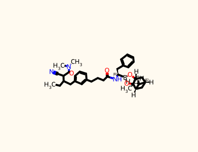 CCC(Cc1cccc(CCCC(=O)N[C@@H](Cc2ccccc2)B2O[C@@H]3C[C@@H]4C[C@@H](C4(C)C)[C@]3(C)O2)c1)C(C#N)C(=O)N(C)C